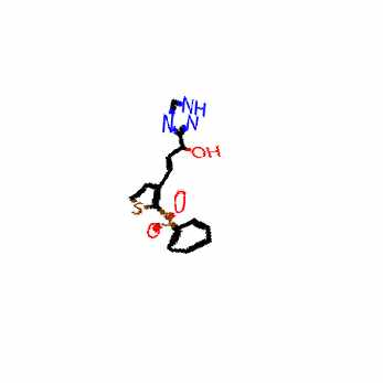 O=S(=O)(c1ccccc1)c1sccc1C=CC(O)c1nc[nH]n1